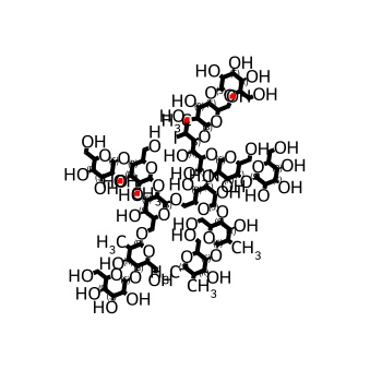 CC1[C@H](OCC2O[C@H](OCC3O[C@@H](O[C@@H]4C(CO)O[C@@H](O[C@@H]5C(CO)O[C@@H](C)C(C)[C@H]5O)C(C)[C@H]4O)C(O)[C@@H](O[C@@H](O)C(O[C@@H]4OC(CO)[C@@H](O[C@@H]5OC(CO)[C@H](O)[C@H](O)C5O)[C@H](O)C4N)[C@@H](O)[C@H](O[C@@H]4OC(CO)[C@@H](O[C@@H]5OC(CO)[C@H](O)[C@H](O)C5O)[C@H](O)C4C)C(I)CO)[C@@H]3O)C(OC3OC(CO)[C@H](O[C@@H]4OC(CO)[C@H](O)[C@H](O)C4O)[C@H](O)C3C)[C@@H](O)[C@@H]2O)OC(CO)[C@@H](O[C@@H]2OC(CO)[C@H](O)[C@H](O)C2O)[C@@H]1O